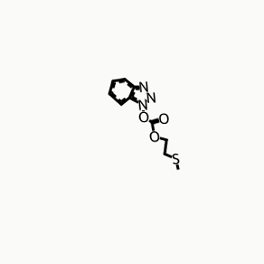 CSCCOC(=O)On1nnc2ccccc21